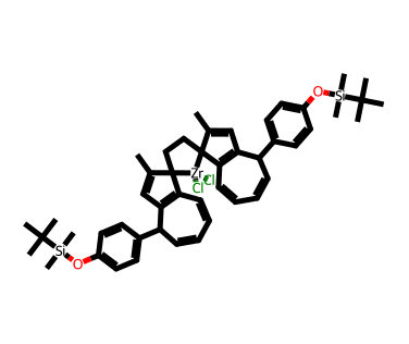 CC1=CC2=C(C=CC=CC2c2ccc(O[Si](C)(C)C(C)(C)C)cc2)[C]12CC[C]1(C(C)=CC3=C1C=CC=CC3c1ccc(O[Si](C)(C)C(C)(C)C)cc1)[Zr]2([Cl])[Cl]